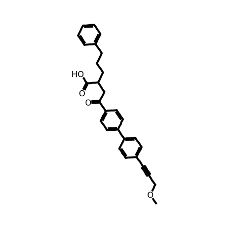 COCC#Cc1ccc(-c2ccc(C(=O)CC(CCCc3ccccc3)C(=O)O)cc2)cc1